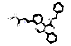 O=CN(c1ccccc1)C(C(=O)NCc1ccccc1)c1cccc(/C=C/C(=O)NO)c1